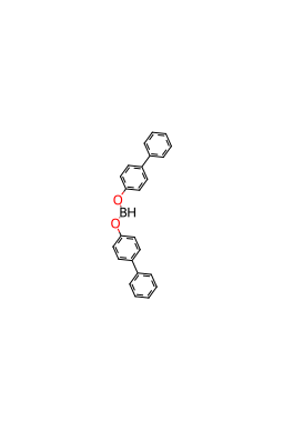 B(Oc1ccc(-c2ccccc2)cc1)Oc1ccc(-c2ccccc2)cc1